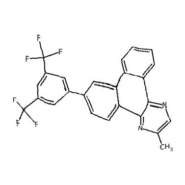 Cc1cnc2c3ccccc3c3cc(-c4cc(C(F)(F)F)cc(C(F)(F)F)c4)ccc3c2n1